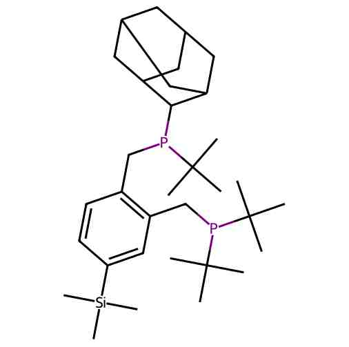 CC(C)(C)P(Cc1ccc([Si](C)(C)C)cc1CP(C(C)(C)C)C(C)(C)C)C1C2CC3CC(C2)CC1C3